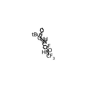 CN(C)[C@H](CNC(=O)C[C@H](c1ccccc1)C(C)(C)C)Cc1ccc(C(=O)NCC(F)(F)F)c(F)c1